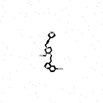 COc1ccc2nccc(CCC[C@@H]3CCN(CC#Cc4ccnnc4)C[C@@H]3CO)c2c1